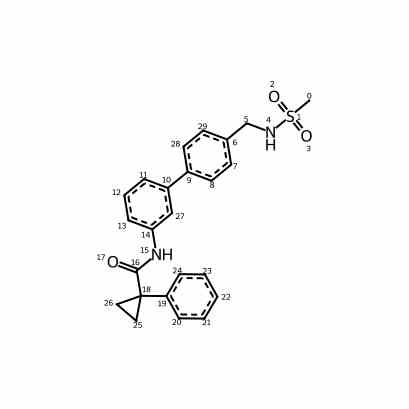 CS(=O)(=O)NCc1ccc(-c2cccc(NC(=O)C3(c4ccccc4)CC3)c2)cc1